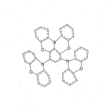 c1ccc2c(c1)Oc1c(N3c4ccccc4Oc4ccccc43)cc(N3c4ccccc4Oc4ccccc43)c3c1B2c1ccccc1O3